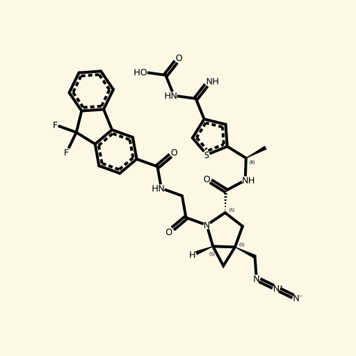 C[C@@H](NC(=O)[C@@H]1C[C@]2(CN=[N+]=[N-])C[C@@H]2N1C(=O)CNC(=O)c1ccc2c(c1)-c1ccccc1C2(F)F)c1cc(C(=N)NC(=O)O)cs1